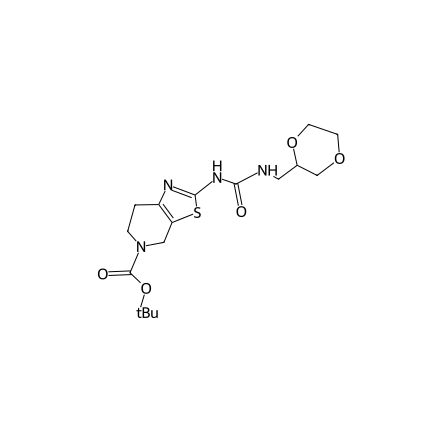 CC(C)(C)OC(=O)N1CCc2nc(NC(=O)NCC3COCCO3)sc2C1